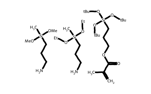 C=C(C)C(=O)OCCC[Si](OC(C)(C)C)(OC(C)(C)C)OC(C)(C)C.CCO[Si](C)(CCCN)OCC.CO[Si](C)(CCCN)OC